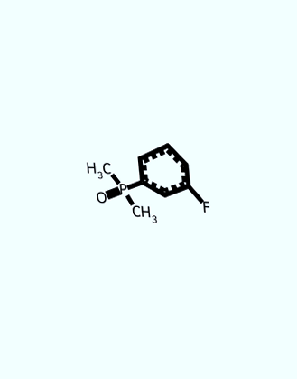 CP(C)(=O)c1cccc(F)c1